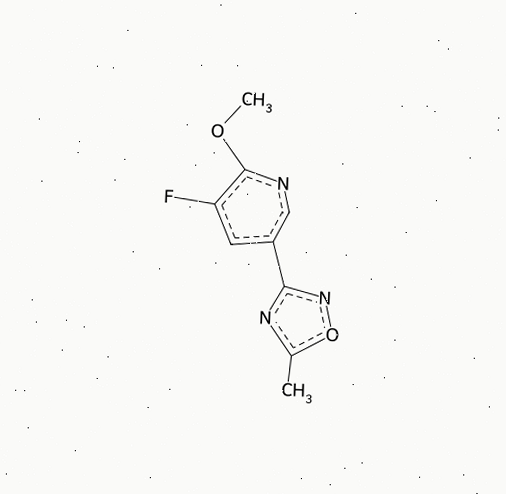 COc1ncc(-c2noc(C)n2)cc1F